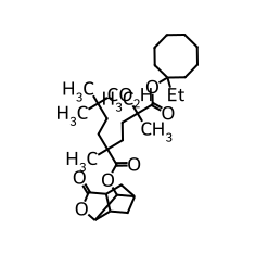 CCC1(OC(=O)C(C)(C)CCC(C)(CCC(C)(C)C(=O)O)C(=O)OC2C3CC4C(=O)OC2C4C3)CCCCCCC1